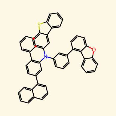 c1ccc(-c2ccc(-c3cccc4ccccc34)cc2N(c2cccc(-c3cccc4oc5ccccc5c34)c2)c2ccc3sc4ccccc4c3c2)cc1